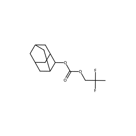 CC(F)(F)COC(=O)OC1C2CC3CC(C2)CC1C3